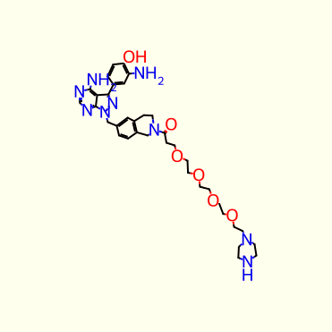 Nc1cc(-c2nn(Cc3ccc4c(c3)CCN(C(=O)CCOCCOCCOCCOCCN3CCNCC3)C4)c3ncnc(N)c23)ccc1O